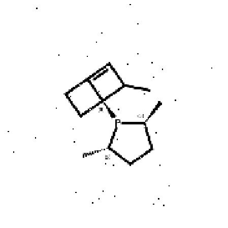 CC1C=C2CC[C@]21P1[C@@H](C)CC[C@@H]1C